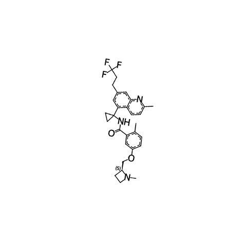 Cc1ccc2c(C3(NC(=O)c4cc(OC[C@@H]5CCN5C)ccc4C)CC3)cc(CCC(F)(F)F)cc2n1